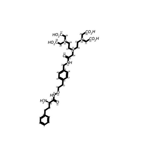 N[C@H](CCc1ccccc1)C(=O)NOCCc1ccc(CNC(=O)CN(CCN(CC(=O)O)CC(=O)O)CCN(CC(=O)O)CC(=O)O)cc1